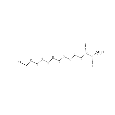 O=S(=O)(O)C(F)C(F)CCCCCCCCCCCF